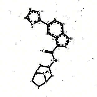 CN1C2CCC1CC(NC(=O)c1n[nH]c3ccc(-c4nccs4)cc13)C2